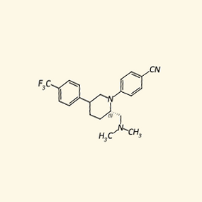 CN(C)C[C@@H]1CCC(c2ccc(C(F)(F)F)cc2)CN1c1ccc(C#N)cc1